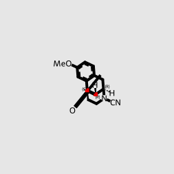 COc1ccc2c(c1)[C@]13CCN(C#N)[C@H](C2)[C@@H]1CCC(=O)C3